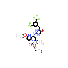 CCOC(=O)N1c2ccc(OC)nc2[C@@H](Nc2ncc(Br)c(Cc3cc(C(F)(F)F)cc(C(F)(F)F)c3)n2)C[C@H]1C